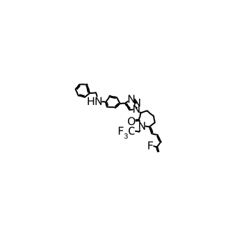 C=C(F)/C=C\C=C1/CCCC(n2cc(-c3ccc(NCc4ccccc4)cc3)nn2)C(=O)N1CC(F)(F)F